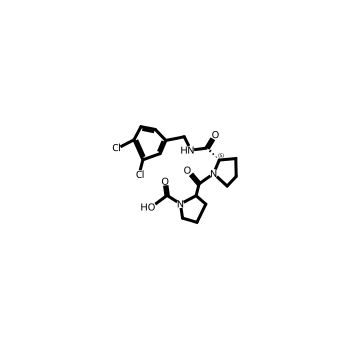 O=C(NCc1ccc(Cl)c(Cl)c1)[C@@H]1CCCN1C(=O)C1CCCN1C(=O)O